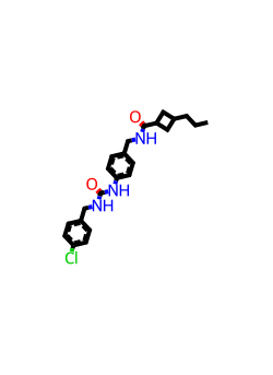 CCCC1CC(C(=O)NCc2ccc(NC(=O)NCc3ccc(Cl)cc3)cc2)C1